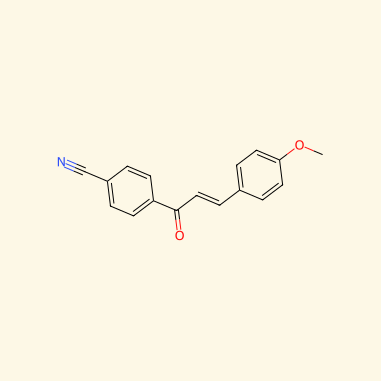 COc1ccc(C=CC(=O)c2ccc(C#N)cc2)cc1